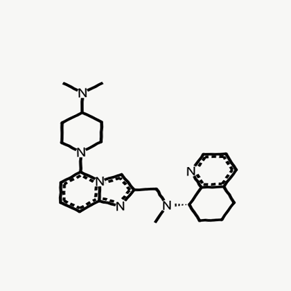 CN(C)C1CCN(c2cccc3nc(CN(C)[C@H]4CCCc5cccnc54)cn23)CC1